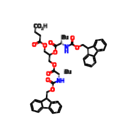 CC[C@H](C)[C@H](NC(=O)OCC1c2ccccc2-c2ccccc21)C(=O)OCC(COC(=O)CCC(=O)O)OC(=O)[C@@H](NC(=O)OCC1c2ccccc2-c2ccccc21)[C@@H](C)CC